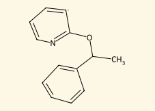 CC(Oc1[c]cccn1)c1ccccc1